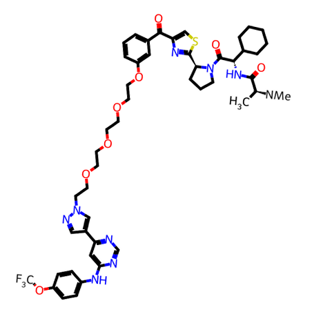 CN[C@@H](C)C(=O)N[C@H](C(=O)N1CCC[C@H]1c1nc(C(=O)c2cccc(OCCOCCOCCOCCn3cc(-c4cc(Nc5ccc(OC(F)(F)F)cc5)ncn4)cn3)c2)cs1)C1CCCCC1